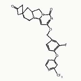 O=C1CC2(CCN3c4cc(OCc5ccc(Oc6ccnc(C(F)(F)F)c6)c(F)c5)nc(=O)n4CC3C2)C1